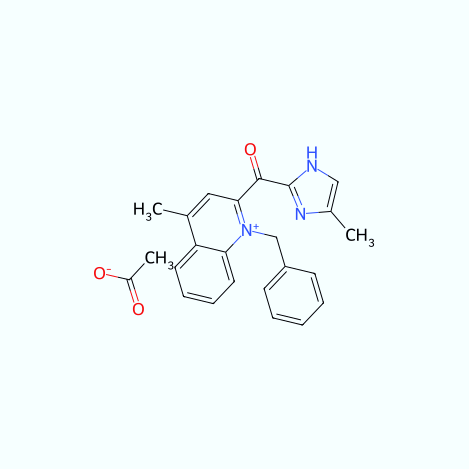 CC(=O)[O-].Cc1c[nH]c(C(=O)c2cc(C)c3ccccc3[n+]2Cc2ccccc2)n1